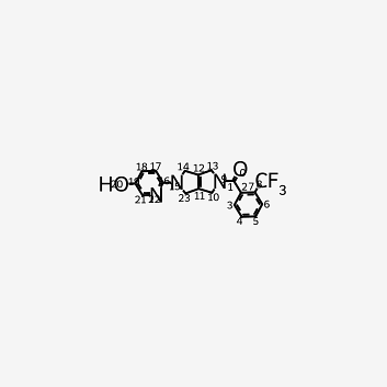 O=C(c1ccccc1C(F)(F)F)N1CC2=C(C1)CN(c1ccc(O)cn1)C2